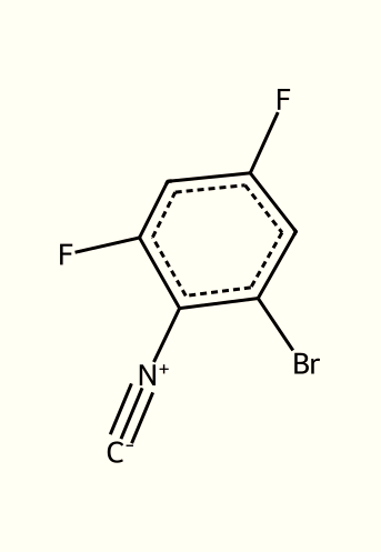 [C-]#[N+]c1c(F)cc(F)cc1Br